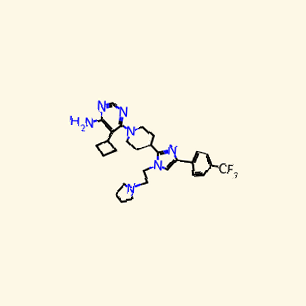 Nc1ncnc(N2CCC(c3nc(-c4ccc(C(F)(F)F)cc4)cn3CCN3CCCC3)CC2)c1C1CCC1